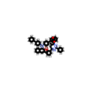 CC1=C(c2ccccc2)N=C(c2ccccc2)N=C(c2cccc3c2oc2c(N(c4ccc(-c5ccccc5)cc4)c4ccc(-c5ccccc5)cc4)c4ccccc4cc23)C1